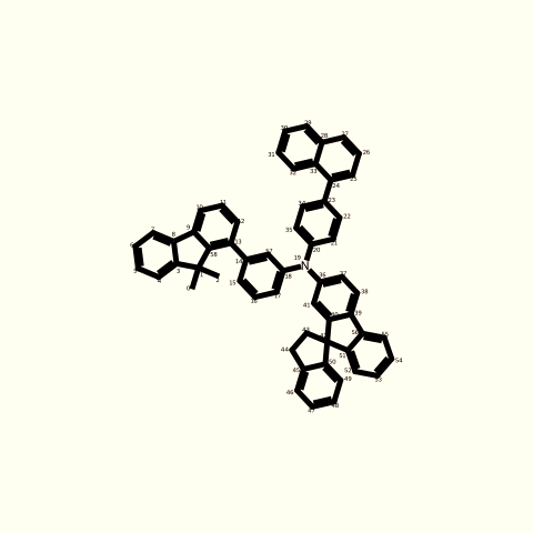 CC1(C)c2ccccc2-c2cccc(-c3cccc(N(c4ccc(-c5cccc6ccccc56)cc4)c4ccc5c(c4)C4(CCc6ccccc64)c4ccccc4-5)c3)c21